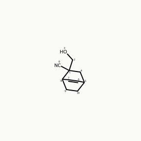 N#CC1(CO)CC2C=CC1CC2